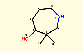 CC1(C)CNCCCC1O